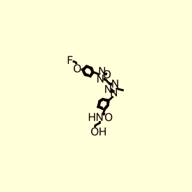 Cc1nc(-c2nc(-c3ccc(OCF)cc3)no2)nn1Cc1cccc(C(=O)NCCO)c1